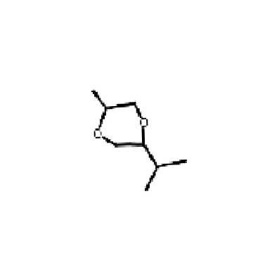 CC(C)C1CO[C@@H](C)CO1